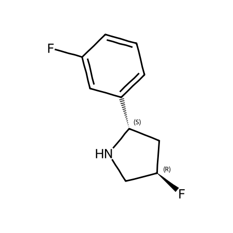 Fc1cccc([C@@H]2C[C@@H](F)CN2)c1